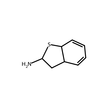 NC1CC2C=CC=CC2S1